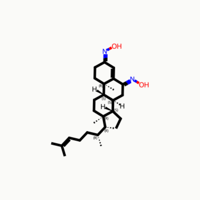 CC(C)=CCC[C@@H](C)[C@H]1CC[C@H]2[C@@H]3CC(=NO)C4=CC(=NO)CC[C@]4(C)[C@H]3CC[C@]12C